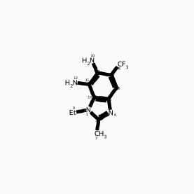 CCn1c(C)nc2cc(C(F)(F)F)c(N)c(N)c21